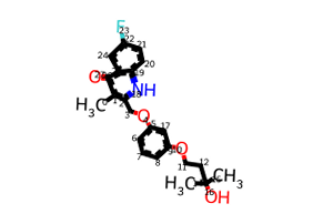 Cc1c(COc2cccc(OCCC(C)(C)O)c2)[nH]c2ccc(F)cc2c1=O